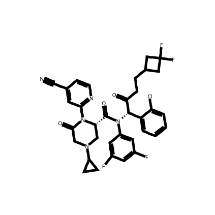 N#Cc1ccnc(N2C(=O)CN(C3CC3)C[C@H]2C(=O)N(c2cc(F)cc(F)c2)[C@H](C(=O)CCC2CC(F)(F)C2)c2ccccc2Cl)c1